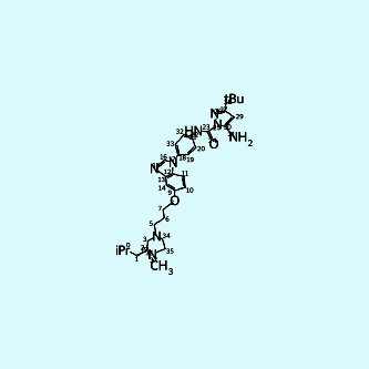 CC(C)C[C@H]1CN(CCCOc2ccc3c(c2)ncn3-c2ccc(NC(=O)n3nc(C(C)(C)C)cc3N)cc2)CCN1C